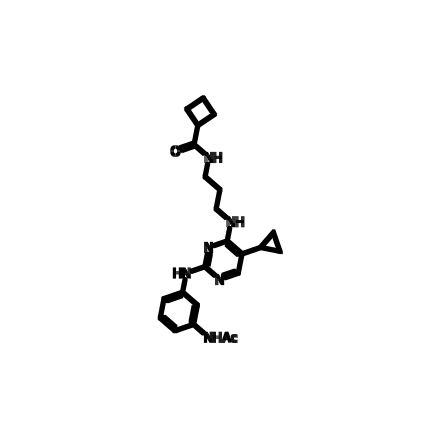 CC(=O)Nc1cccc(Nc2ncc(C3CC3)c(NCCCNC(=O)C3CCC3)n2)c1